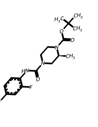 C[C@H]1CN(C(=O)Nc2ccc(F)cc2F)CCN1C(=O)OC(C)(C)C